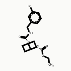 CCOC(=O)[C@H]1C[C@]2(C(=O)NCc3cccc(Br)c3)CCC12